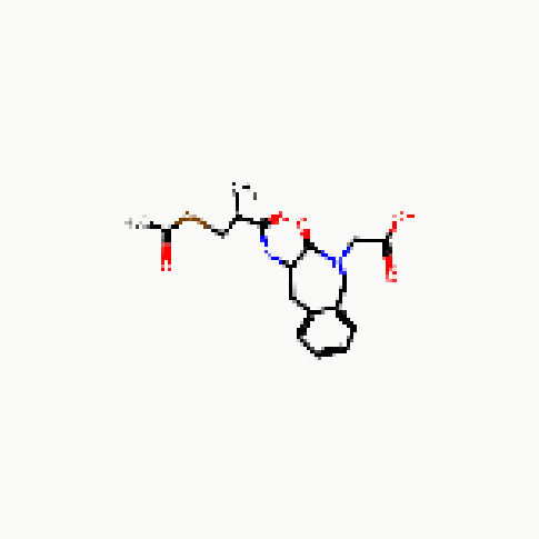 CC(=O)SC[C@@H](C)C(=O)NC1Cc2ccccc2CN(CC(=O)O)C1=O